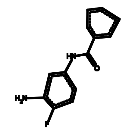 Nc1cc(NC(=O)c2ccccc2)ccc1F